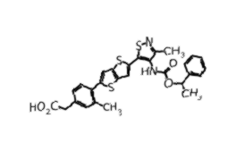 Cc1cc(CC(=O)O)ccc1-c1cc2sc(-c3snc(C)c3NC(=O)O[C@H](C)c3ccccc3)cc2s1